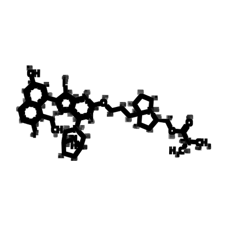 CCc1c(F)ccc2cc(O)cc(-c3sc4c(N5CC6CCC(C5)N6)nc(OCCCC56CCCN5[C@@H](COC(=O)N(C)C)CC6)nc4c3F)c12